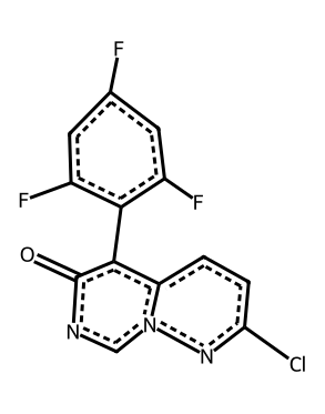 O=c1ncn2nc(Cl)ccc2c1-c1c(F)cc(F)cc1F